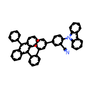 N#Cc1cc(-c2cccc(-c3ccccc3-c3c4ccccc4c(-c4ccccc4)c4ccccc34)c2)ccc1-n1c2ccccc2c2ccccc21